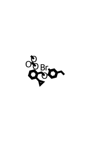 CCc1ccc(OCc2c(OC(=O)OC)cccc2C2CC2)c(Br)c1